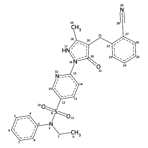 CCN(c1ccccc1)S(=O)(=O)c1ccc(-n2[nH]c(C)c(Cc3ccccc3C#N)c2=O)nc1